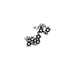 [2H]C([2H])([2H])c1cnc(-n2c3ccccc3c3ccc(Oc4cc(-n5cnc6ccccc65)cc(C(C)(C)C)c4)cc32)c(C([2H])([2H])[2H])c1-c1ccccc1